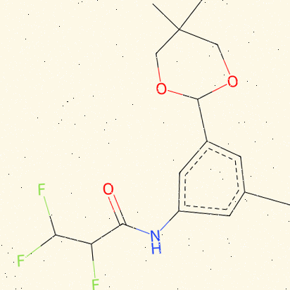 Cc1cc(NC(=O)C(F)C(F)F)cc(C2OCC(C)(C)CO2)c1